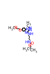 COCCOc1ccc2c(c1)nc(NCCCCNC(=O)OCC(C)C)c1nnc(C)n12